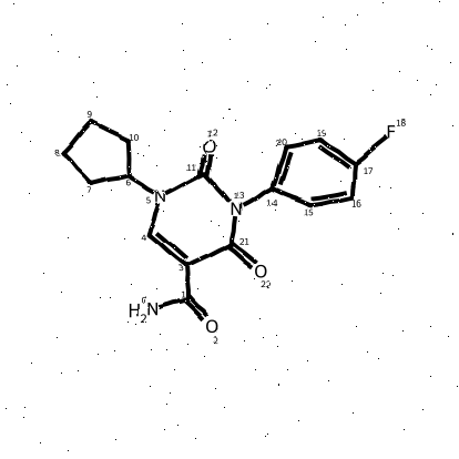 NC(=O)c1cn(C2CCCC2)c(=O)n(-c2ccc(F)cc2)c1=O